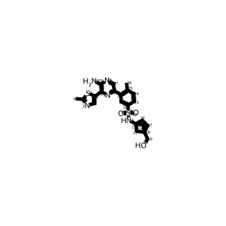 Cc1ncc(-c2nc(-c3cc(S(=O)(=O)NC45CCC(CO)(C4)C5)ccc3C)cnc2N)s1